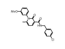 COc1cccc(-n2c(C)ccc(C(=O)NCc3ccc(Cl)cc3)c2=O)c1